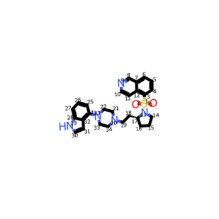 O=S(=O)(c1cccc2cnccc12)N1CCC[C@H]1CCN1CCN(c2cccc3[nH]ccc23)CC1